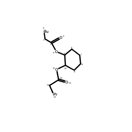 CCC(C)CC(=O)OC1CCCCC1OC(=O)CC(C)C